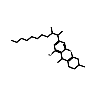 CCCCCCCCC(C)C(C)c1cc(O)c2c(c1)OC1=C(CCC(C)C1)C2C